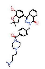 COc1ccc(C2=NN(Cc3ccc(C(=O)N4CCN(CCCN(C)C)CC4)cc3)C(=O)C3CC=CCC23)c2c1OC(C)(C)C2